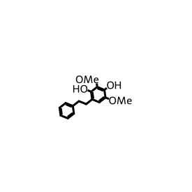 COc1cc(CCc2ccccc2)c(O)c(OC)c1O